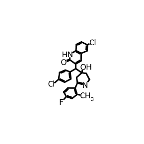 Cc1cc(F)ccc1C1=NCCC(O)(C(c2ccc(Cl)cc2)c2cc3cc(Cl)ccc3[nH]c2=O)C1